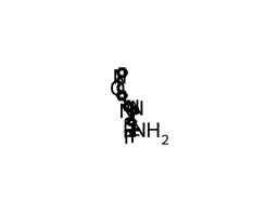 NC(c1cc(-c2cnn3cc(-c4ccc(OCCN5CCCCC5)cc4)cnc23)cs1)C(F)(F)F